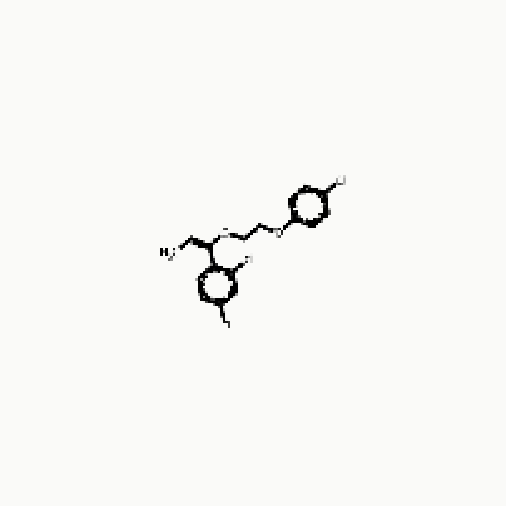 C/[C]=C(/OCCOc1ccc(Cl)cc1)c1ccc(Cl)cc1Cl